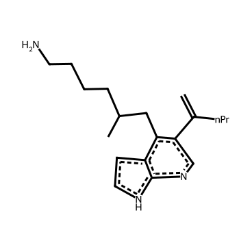 C=C(CCC)c1cnc2[nH]ccc2c1CC(C)CCCCN